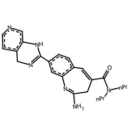 CCCN(CCC)C(=O)C1=Cc2ccc(C3=NCc4ccncc4N3)cc2N=C(N)C1